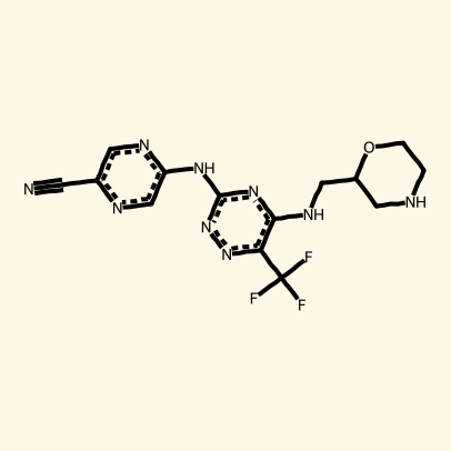 N#Cc1cnc(Nc2nnc(C(F)(F)F)c(NCC3CNCCO3)n2)cn1